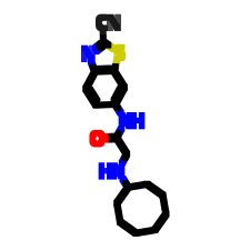 N#Cc1nc2ccc(NC(=O)CNC3CCCCCCC3)cc2s1